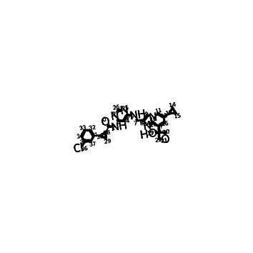 O=C(Nc1cc(NCc2cn3cc(C4CC4)cc(C4(O)COC4)c3n2)ncn1)[C@H]1C[C@@H]1c1cccc(Cl)c1